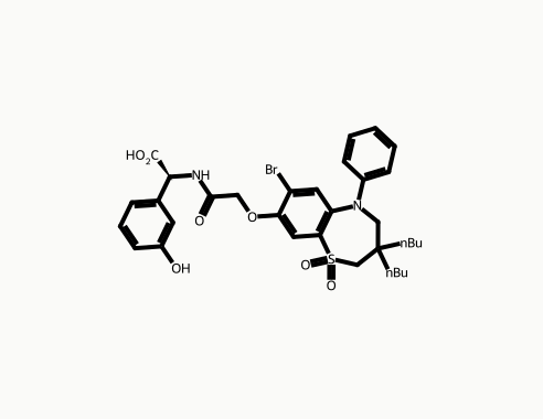 CCCCC1(CCCC)CN(c2ccccc2)c2cc(Br)c(OCC(=O)N[C@H](C(=O)O)c3cccc(O)c3)cc2S(=O)(=O)C1